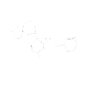 Cc1cccc(CNCC[C@@]2(c3ccc(OC(F)(F)F)cc3)CCOC3(CCCC3)C2)c1